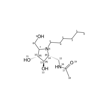 CCCCCCN1C(CO)[C@@H](O)[C@H](O)[C@H]1CNC(C)=O